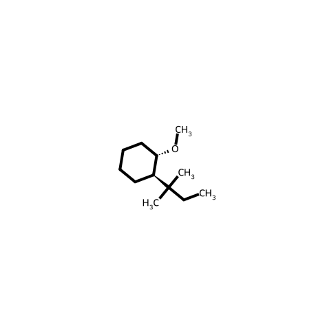 CCC(C)(C)[C@H]1CCCC[C@@H]1OC